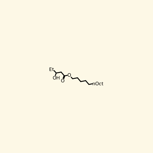 CCCCCCCCCCCCCOC(=O)CC(O)CC